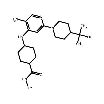 CC(C)NC(=O)C1CCC(Nc2cc(N3CCC(C(C)(C)O)CC3)ncc2N)CC1